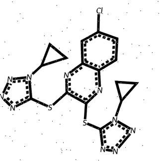 Clc1ccc2nc(Sc3nnnn3C3CC3)c(Sc3nnnn3C3CC3)nc2c1